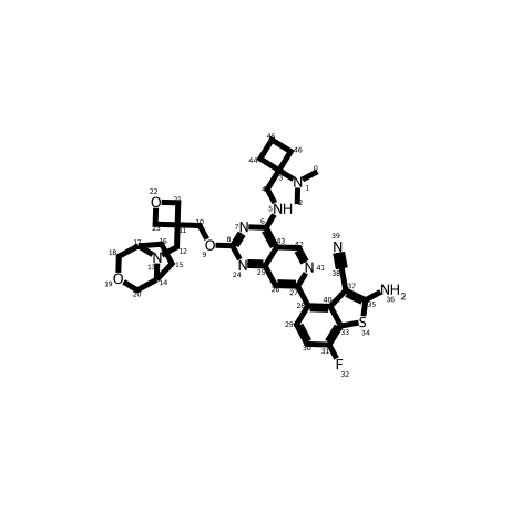 CN(C)C1(CNc2nc(OCC3(CN4C5CCC4COC5)COC3)nc3cc(-c4ccc(F)c5sc(N)c(C#N)c45)ncc23)CCC1